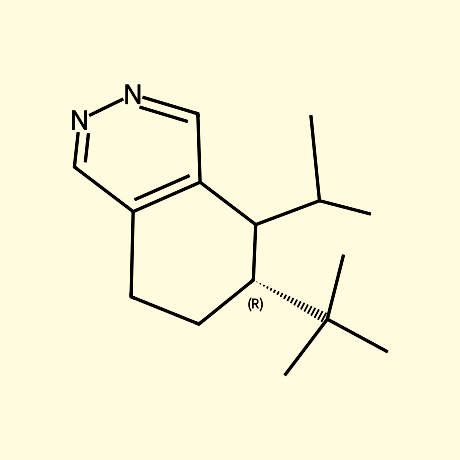 CC(C)C1c2cnncc2CC[C@H]1C(C)(C)C